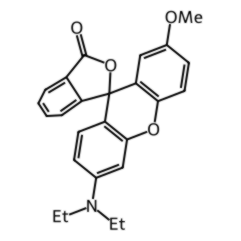 CCN(CC)c1ccc2c(c1)Oc1ccc(OC)cc1C21OC(=O)c2ccccc21